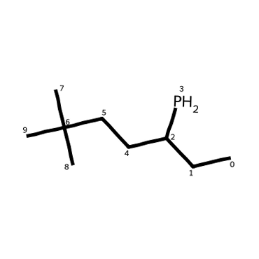 CCC(P)CCC(C)(C)C